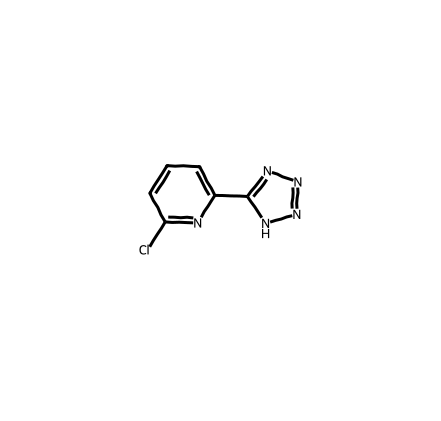 Clc1cccc(-c2nnn[nH]2)n1